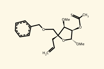 C=CC[C@]1(COCc2ccccc2)O[C@@H](OC)[C@H](OC(C)=S)[C@@H]1OC